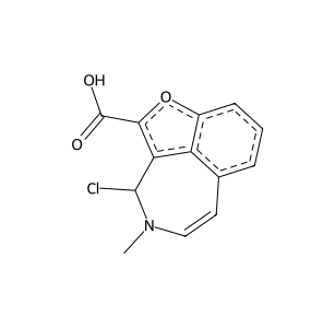 CN1C=Cc2cccc3oc(C(=O)O)c(c23)C1Cl